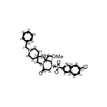 COCC12CN(S(=O)(=O)c3cc4ccc(Cl)cc4s3)CC(=O)N1CC1(CCN(Cc3ccccc3)CC1)N2